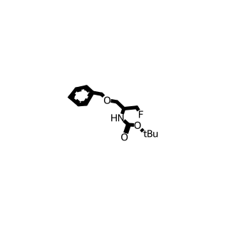 CC(C)(C)OC(=O)NC(CF)COCc1ccccc1